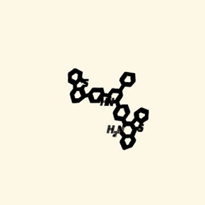 CC1C=CC=C/C1=c1\sc2ccccc2\c1=C(\N)c1ccc(C2=CC(c3ccccc3)=CC(c3ccc(-c4cccc5c4sc4ccccc45)cc3)N2)cc1